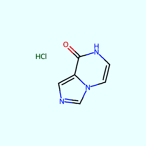 Cl.O=c1[nH]ccn2cncc12